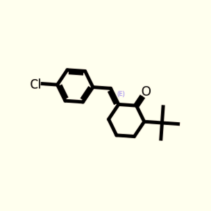 CC(C)(C)C1CCC/C(=C\c2ccc(Cl)cc2)C1=O